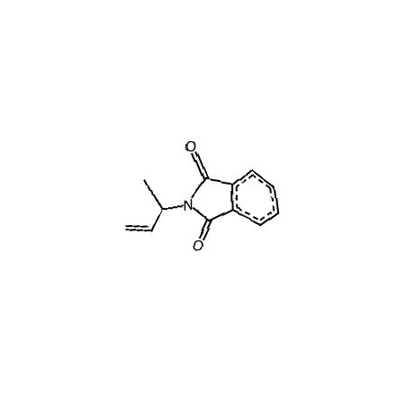 C=CC(C)N1C(=O)c2ccccc2C1=O